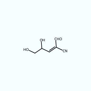 N#CC(C=O)=CC(O)CO